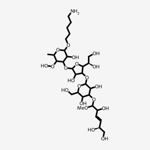 COC(OC1C(O)C(CO)OC(OC2C(O)C(OC3C(O)C(OCCCCCN)OC(C)C3OO)OC2[C@H](O)CO)C1O)C(O)/C=C/[C@H](O)CO